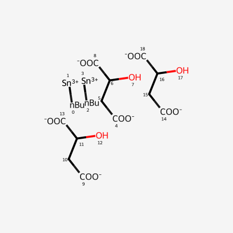 CCC[CH2][Sn+3].CCC[CH2][Sn+3].O=C([O-])CC(O)C(=O)[O-].O=C([O-])CC(O)C(=O)[O-].O=C([O-])CC(O)C(=O)[O-]